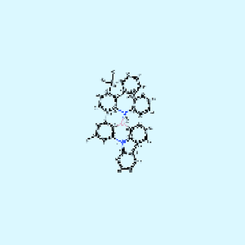 Cc1cc2c3c(c1)-n1c4ccccc4c4cccc(c41)B3N(c1ccccc1C)c1c-2ccc2c1-c1ccccc1C2(C)C